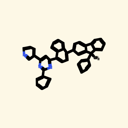 CC1(c2ccccc2)c2ccccc2-c2ccc(-c3ccc(-c4cc(-c5cccnc5)nc(-c5ccccc5)n4)c4ccccc34)cc21